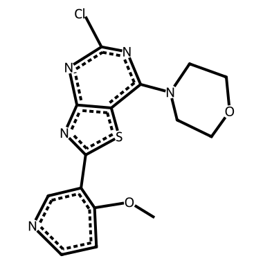 COc1ccncc1-c1nc2nc(Cl)nc(N3CCOCC3)c2s1